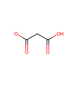 [O]C(=O)CC(=O)O